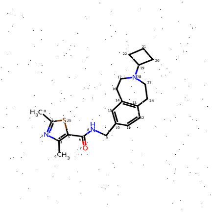 Cc1nc(C)c(C(=O)NCc2ccc3c(c2)CCN(C2CCC2)CC3)s1